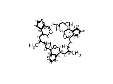 CCNC[C@@H]1OCC(CC(C)NCC2OCC(CC(C)NC[C@H]3OCCc4ccsc43)c3ccsc32)c2ccsc21